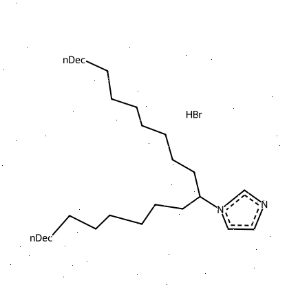 Br.CCCCCCCCCCCCCCCCCC(CCCCCCCCCCCCCCCC)n1ccnc1